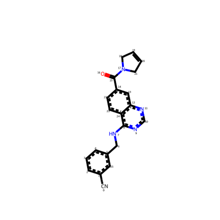 N#Cc1cccc(CNc2ncnc3cc(C(=O)N4CC=CC4)ccc23)c1